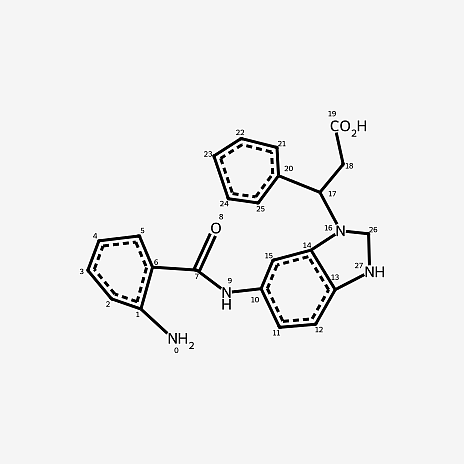 Nc1ccccc1C(=O)Nc1ccc2c(c1)N(C(CC(=O)O)c1ccccc1)CN2